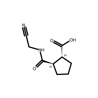 N#CCNC(=O)[C@@H]1CCC[C@H]1C(=O)O